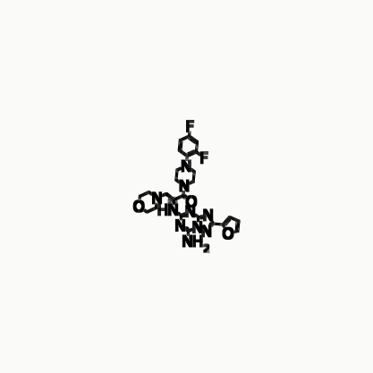 Nc1nc(N[C@@H](CN2CCOCC2)C(=O)N2CCN(c3ccc(F)cc3F)CC2)nc2nc(-c3ccco3)nn12